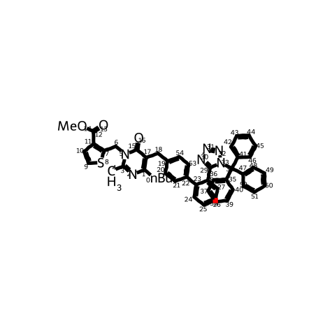 CCCCc1nc(C)n(Cc2sccc2C(=O)OC)c(=O)c1Cc1ccc(-c2ccccc2-c2nnnn2C(c2ccccc2)(c2ccccc2)c2ccccc2)cc1